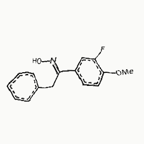 COc1ccc(/C(Cc2ccccc2)=N/O)cc1F